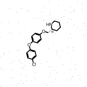 Clc1ccc(Oc2ccc(OC[C@H]3CCCCN3)cc2)cc1